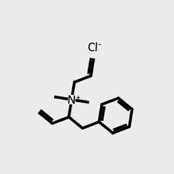 C=CC[N+](C)(C)C(C=C)Cc1ccccc1.[Cl-]